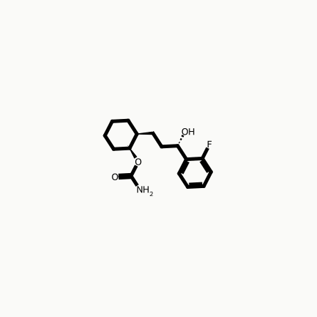 NC(=O)O[C@H]1CCCC[C@H]1CC[C@H](O)c1ccccc1F